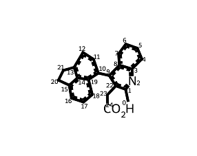 Cc1nc2ccccc2c(-c2ccc3c4c(cccc24)CC3)c1CC(=O)O